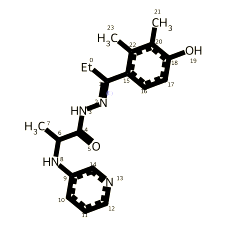 CC/C(=N\NC(=O)C(C)Nc1cccnc1)c1ccc(O)c(C)c1C